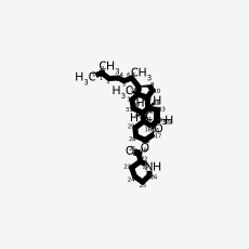 CC(C)CCC[C@@H](C)[C@H]1CC[C@H]2[C@@H]3C[C@H]4O[C@]45CC(OC(=O)C4CCCCN4)CC[C@]5(C)[C@H]3CC[C@]12C